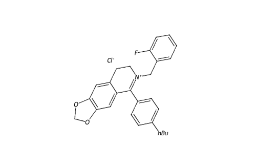 CCCCc1ccc(C2=[N+](Cc3ccccc3F)CCc3cc4c(cc32)OCO4)cc1.[Cl-]